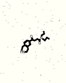 CCCN(CCC)C(=O)CCC(=O)c1ccc2c(c1)CCNCC2